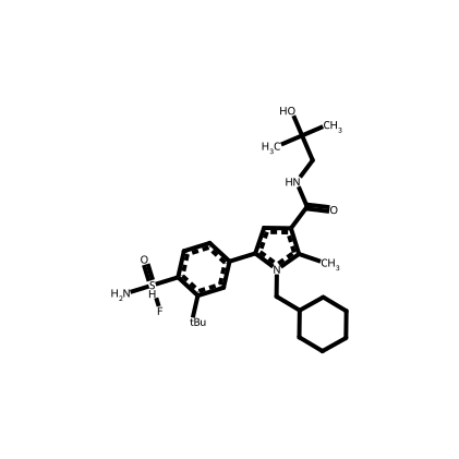 Cc1c(C(=O)NCC(C)(C)O)cc(-c2ccc([SH](N)(=O)F)c(C(C)(C)C)c2)n1CC1CCCCC1